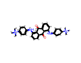 C[N+](C)(C)c1ccc(Nc2cccc3c2C(=O)c2cccc(Nc4ccc([N+](C)(C)C)cc4)c2C3=O)cc1